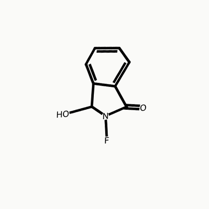 O=C1c2ccccc2C(O)N1F